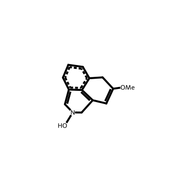 COC1=CC2=c3c(cccc3=CN(O)C2)C1